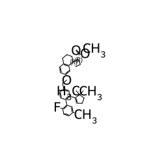 COC(=O)[C@@H]1CC[C@]12CCCc1ccc(OCc3ccc(-c4cc(C)ccc4F)c(C4=CCCC4(C)C)c3)cc12